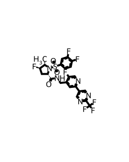 C[C@H]1[C@H](F)C[C@@H](C(=O)NCc2cc(-c3cnc(C(F)(F)F)nc3)ncc2F)N1S(=O)(=O)c1ccc(F)c(F)c1